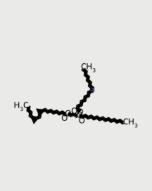 CCCCCCCC/C=C\CCCCCCCC(=O)OC(COC(=O)CCCCCCCCCCCCCCC)COC(=O)CCCCCCCC1CC1CC1CC1CCCCC